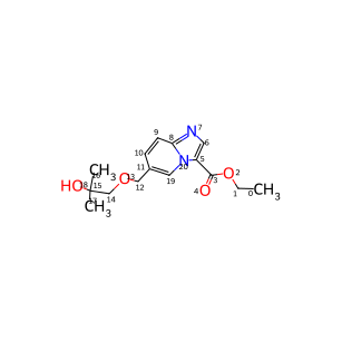 CCOC(=O)c1cnc2ccc(COCC(C)(C)O)cn12